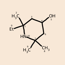 CCC1(C)CC(O)CC(C)(C)N1